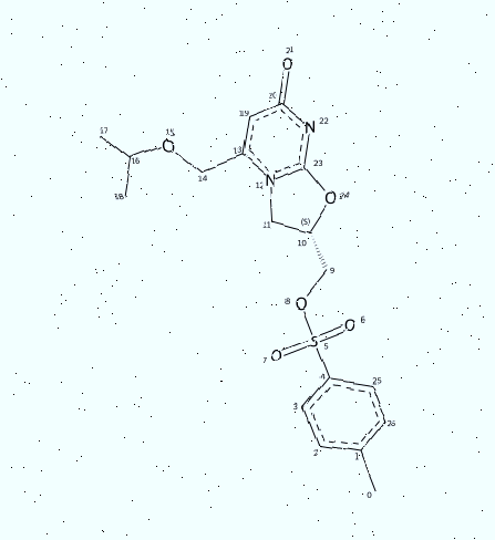 Cc1ccc(S(=O)(=O)OC[C@@H]2Cn3c(COC(C)C)cc(=O)nc3O2)cc1